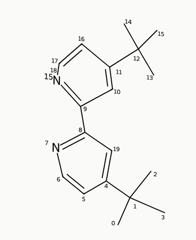 CC(C)(C)c1ccnc(-c2cc(C(C)(C)C)cc[15n]2)c1